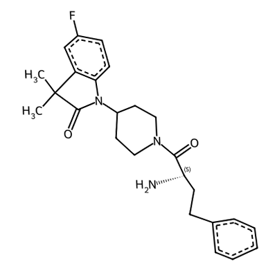 CC1(C)C(=O)N(C2CCN(C(=O)[C@@H](N)CCc3ccccc3)CC2)c2ccc(F)cc21